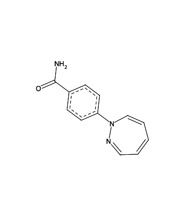 NC(=O)c1ccc(N2C=CC=CC=N2)cc1